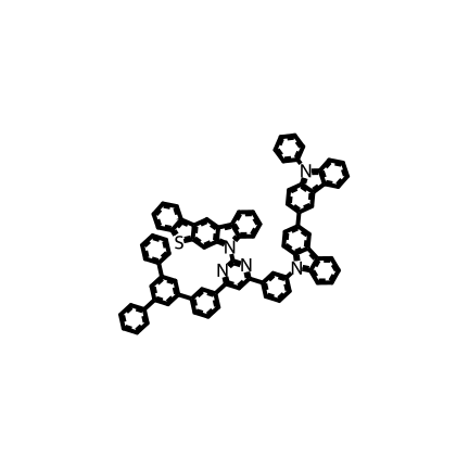 c1ccc(-c2cc(-c3ccccc3)cc(-c3cccc(-c4cc(-c5cccc(-n6c7ccccc7c7cc(-c8ccc9c(c8)c8ccccc8n9-c8ccccc8)ccc76)c5)nc(-n5c6ccccc6c6cc7c(cc65)sc5ccccc57)n4)c3)c2)cc1